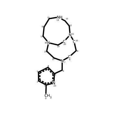 Cc1cccc(CN2CCCN3CCNCCCN(CC3)CC2)n1